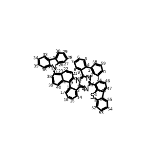 c1ccc(-c2ccccc2-c2nc(-c3ccccc3-c3cccc4c(-n5c6ccccc6c6ccccc65)cccc34)nc(-c3cccc4c3sc3ccccc34)n2)cc1